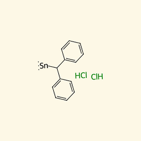 Cl.Cl.[Sn][CH](c1ccccc1)c1ccccc1